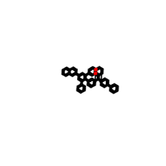 c1ccc(-c2ccc(N(c3ccccc3)c3cccc(-c4c(-c5ccccc5)cc(-c5ccc6ccccc6c5)cc4-c4ccccc4)c3)cc2)cc1